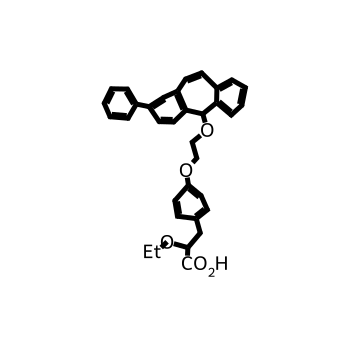 CCOC(Cc1ccc(OCCOC2c3ccccc3C=Cc3cc(-c4ccccc4)ccc32)cc1)C(=O)O